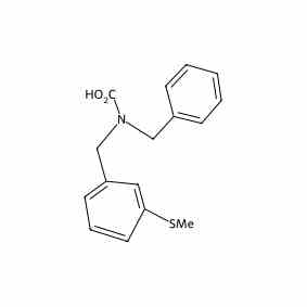 CSc1cccc(CN(Cc2ccccc2)C(=O)O)c1